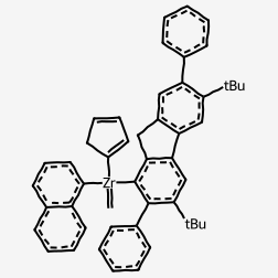 [CH2]=[Zr]([C]1=CC=CC1)([c]1c2c(cc(C(C)(C)C)c1-c1ccccc1)-c1cc(C(C)(C)C)c(-c3ccccc3)cc1C2)[c]1cccc2ccccc12